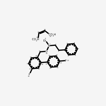 CCN(CCc1ccccc1)OCc1ccc(F)cc1-c1ccc(F)cc1.O=C(O)/C=C\C(=O)O